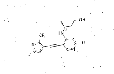 C[C@@H](CCO)Nc1cc(Cl)ncc1C#Cc1cn(C)nc1C(F)(F)F